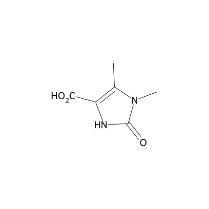 Cc1c(C(=O)O)[nH]c(=O)n1C